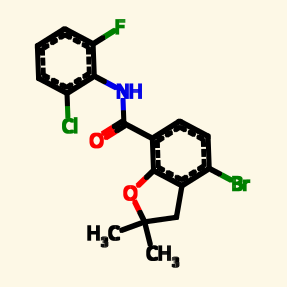 CC1(C)Cc2c(Br)ccc(C(=O)Nc3c(F)cccc3Cl)c2O1